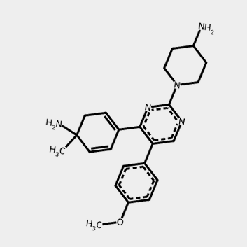 COc1ccc(-c2cnc(N3CCC(N)CC3)nc2C2=CCC(C)(N)C=C2)cc1